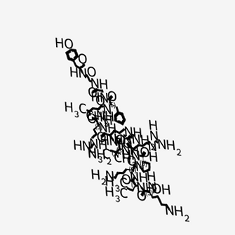 CC[C@H](C)[C@H](NC(=O)C(CCCNC(=N)N)NC(=O)[C@@H]1CCCN1C(=O)[C@H](CCCCN)NC(=O)[C@H](CC(C)C)NC(=O)[C@H](CCCCN)NO)C(=O)NC(CCCNC(=N)N)C(=O)N[C@@H](CCCNC(=N)N)C(=O)NC(CC(C)C)C(=O)N[C@@H](Cc1ccccc1)C(=O)NCC(=O)NCC(=O)NC(C=O)Cc1ccc(O)cc1